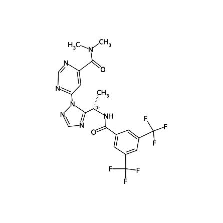 C[C@H](NC(=O)c1cc(C(F)(F)F)cc(C(F)(F)F)c1)c1ncnn1-c1cc(C(=O)N(C)C)ncn1